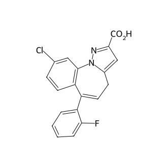 O=C(O)c1cc2n(n1)-c1cc(Cl)ccc1C(c1ccccc1F)=CC2